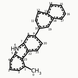 Cc1cccc2[nH]c3cc(-c4ccc5ccccc5c4)ccc3c12